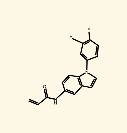 C=CC(=O)Nc1ccc2c(ccn2-c2ccc(F)c(F)c2)c1